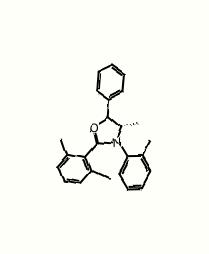 Cc1ccccc1N1C(c2c(C)cccc2C)OC(c2ccccc2)[C@@H]1C